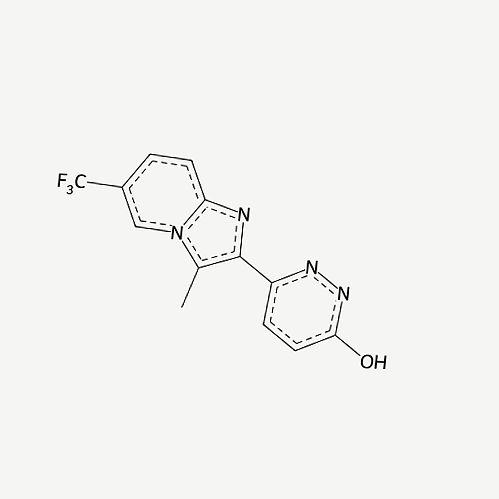 Cc1c(-c2ccc(O)nn2)nc2ccc(C(F)(F)F)cn12